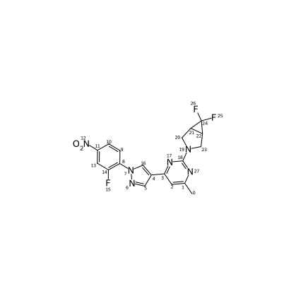 Cc1cc(-c2cnn(-c3ccc([N+](=O)[O-])cc3F)c2)nc(N2CC3C(C2)C3(F)F)n1